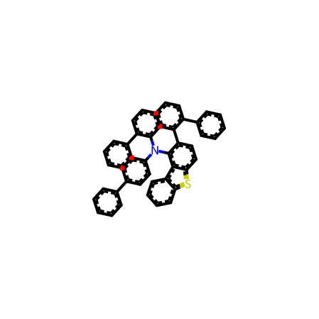 c1ccc(-c2ccc(N(c3ccccc3-c3ccccc3)c3c(-c4ccccc4-c4ccccc4)ccc4sc5ccccc5c34)cc2)cc1